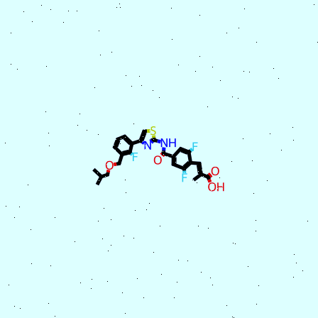 CC(=Cc1c(F)cc(C(=O)Nc2nc(-c3cccc(COCC(C)C)c3F)cs2)cc1F)C(=O)O